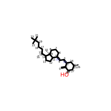 C=C1/C(=C\C=C2/CCC[C@@]3(C)C2CCC3[C@H](C)CCCC(C)(C)C)C[C@@H](C)C[C@@H]1O